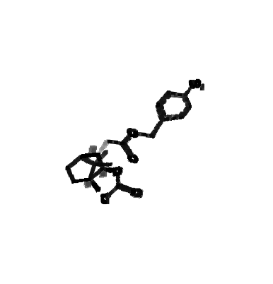 CC1(C)C2CC[C@@]1(C)[C@H](OC(=O)Cl)[C@H]2CC(=O)OCc1ccc([N+](=O)[O-])cc1